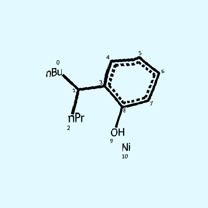 CCCCC(CCC)c1ccccc1O.[Ni]